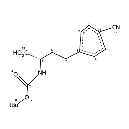 CC(C)(C)OC(=O)N[C@@H](CCc1ccc(C#N)cc1)C(=O)O